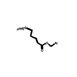 CCCCCCCCCCCC(=O)OCC(C)=O